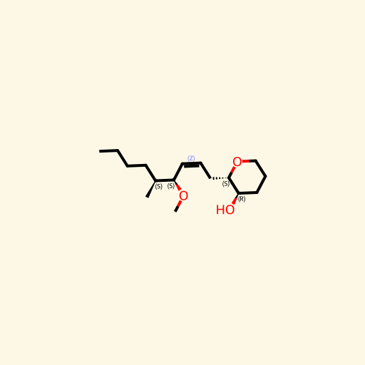 CCCC[C@H](C)[C@@H](/C=C\C[C@@H]1OCCC[C@H]1O)OC